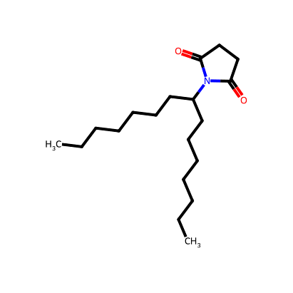 CCCCCCCC(CCCCCCC)N1C(=O)CCC1=O